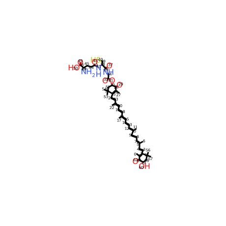 CC1=C(/C=C/C(C)=C/C=C/C(C)=C/C=C/C=C(C)/C=C/C=C(C)/C=C/C2=C(C)C(=O)C(OC(=O)CNC(=O)C(CS)NC(=O)CCC(N)C(=O)O)CC2(C)C)C(C)(C)CC(O)C1=O